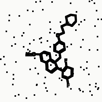 COc1ccc2c(Cc3ccc(OCCN4CCCCC4)cc3)c(-c3cc(F)ccc3F)ccc2c1